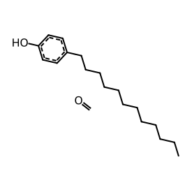 C=O.CCCCCCCCCCCCc1ccc(O)cc1